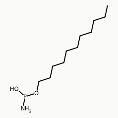 CCCCCCCCCCCOP(N)O